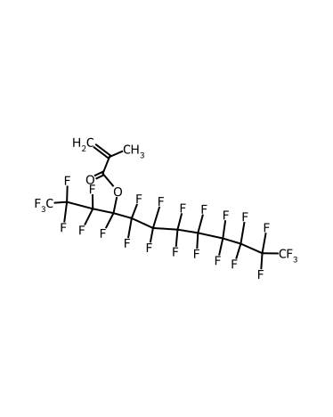 C=C(C)C(=O)OC(F)(C(F)(F)C(F)(F)C(F)(F)F)C(F)(F)C(F)(F)C(F)(F)C(F)(F)C(F)(F)C(F)(F)C(F)(F)C(F)(F)F